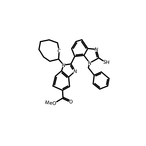 COC(=O)c1ccc2c(c1)nc(-c1cccc3nc(S)n(Cc4ccccc4)c13)n2C1CCCCCCC1